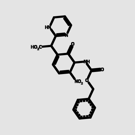 O=C(NC1C(=O)C(C(C(=O)O)C2=NC=CCN2)=CC=C1[N+](=O)[O-])OCc1ccccc1